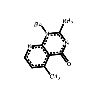 Cc1ccnc2c1c(=O)nc(N)n2C(C)(C)C